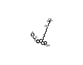 CN1CCN(CC(=O)Oc2ccc3c(c2)CC(CCCCCCCCC[S+]([O-])CCCC(F)(F)C(F)(F)F)C2C3CCC3(C)C(O)CCC23)CC1